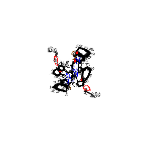 CCC(C)COc1ccc(-c2c3/c(=C(\C#N)c4nc5ccccc5s4)n(B(c4ccccc4)c4ccccc4)c(-c4ccc(OCC(C)CC)cc4)c3/c(=C(\C#N)c3nc4ccccc4s3)n2B(c2ccccc2)c2ccccc2)cc1